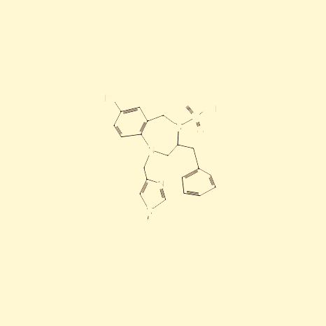 Cn1cnc(CN2CC(Cc3ccccc3)N(S(C)(=O)=O)Cc3cc(Br)ccc32)c1